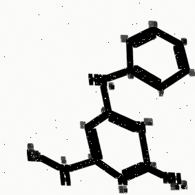 CCNc1cc(Nc2ccccc2)nc(N)n1